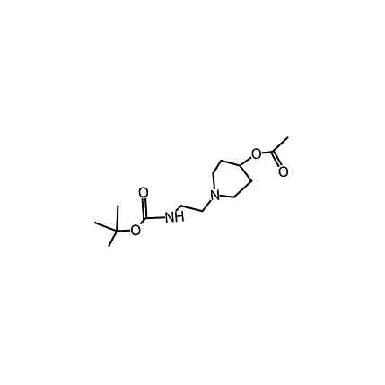 CC(=O)OC1CCN(CCNC(=O)OC(C)(C)C)CC1